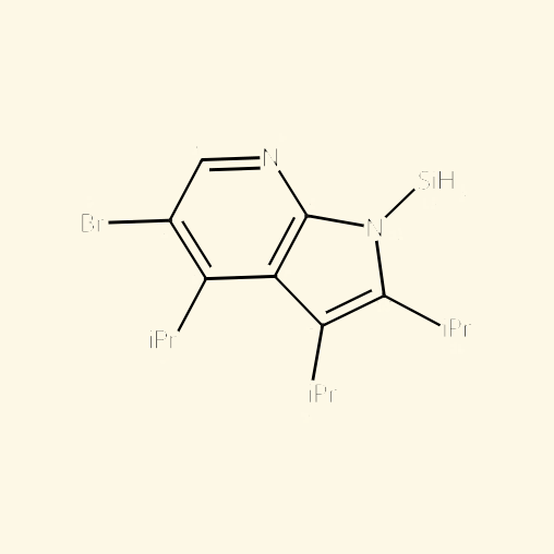 CC(C)c1c(Br)cnc2c1c(C(C)C)c(C(C)C)n2[SiH3]